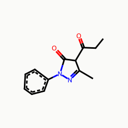 CCC(=O)C1C(=O)N(c2ccccc2)N=C1C